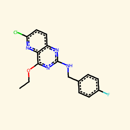 CCOc1nc(NCc2ccc(F)cc2)nc2ccc(Cl)nc12